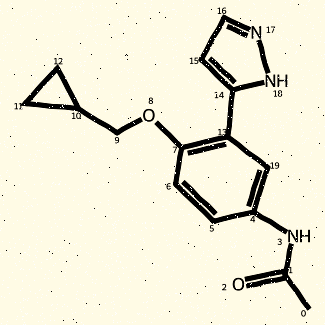 CC(=O)Nc1ccc(OCC2CC2)c(-c2ccn[nH]2)c1